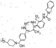 C=C1/C=C(/c2ccc(C(O)N3CCC(OC)CC3)cc2)N/N=C\N[C@H]1c1cccc(NC(=O)N2Cc3ccccc3C2)c1C